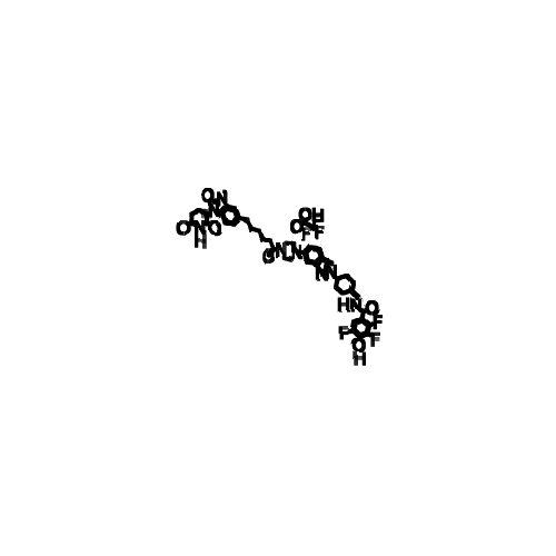 Cn1c(=O)n([C@@H]2CCC(=O)NC2=O)c2ccc(CCCCCC(=O)N3CCN(c4ccc5cn(C6CCC(CNC(=O)c7cc(F)c(O)c(F)c7F)CC6)nc5c4)CC3)cc21.O=C(O)C(F)(F)F